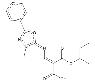 CCC(C)OC(=O)C(=CN=c1oc(-c2ccccc2)nn1C)C(=O)O